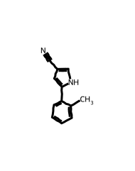 Cc1ccccc1-c1cc(C#N)c[nH]1